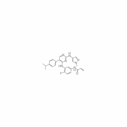 C=CC(=O)Nc1ccc(F)c(Nc2nc(Nc3cnn(C)c3)ncc2-c2ccc(C(C)C)cc2)c1